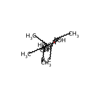 CCCCCCCCCCC(O)CN1CCN(CCN(CCN(CCN(CC(O)CCCCCCCCCC)C(O)CCCCCCCCCC)CC(O)CCCCCCCCCC)CC(O)CCCCCCCCCC)CC1